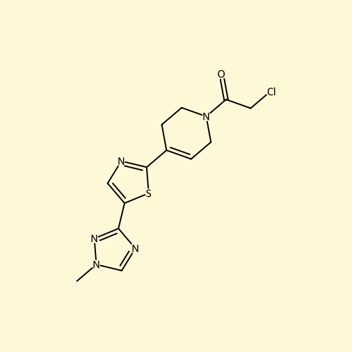 Cn1cnc(-c2cnc(C3=CCN(C(=O)CCl)CC3)s2)n1